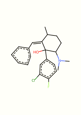 CC1CCC(N(C)C)C(O)(c2ccc(F)c(Cl)c2)C1=Cc1ccccc1